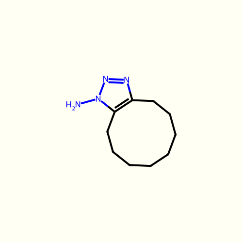 Nn1nnc2c1CCCCCCCC2